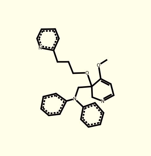 COC1=CC=NCC1(CN(c1ccccc1)c1ccccc1)OCCCc1ccccn1